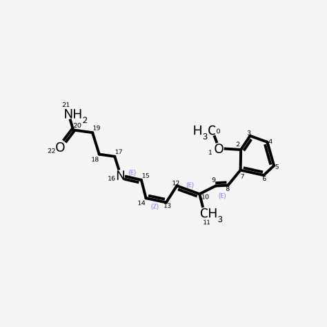 COc1ccccc1/C=C/C(C)=C/C=C\C=N\CCCC(N)=O